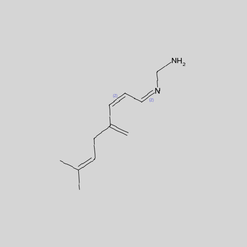 C=C(/C=C\C=N/CN)CC=C(C)C